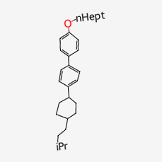 CCCCCCCOc1ccc(-c2ccc(C3CCC(CCC(C)C)CC3)cc2)cc1